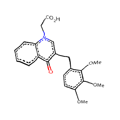 COc1ccc(Cc2cn(CC(=O)O)c3ccccc3c2=O)c(OC)c1OC